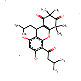 CC(C)CC(=O)c1c(O)cc(O)c2c1OC1=C(C(=O)C(C)(C)C(=O)C1(C)C)C2CC(C)C